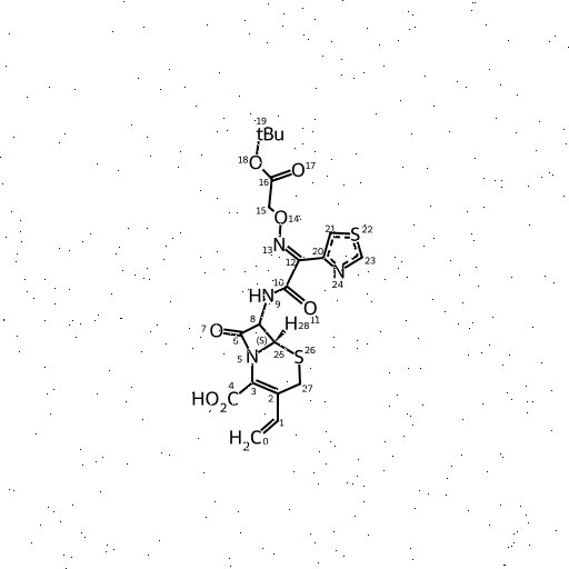 C=CC1=C(C(=O)O)N2C(=O)C(NC(=O)C(=NOCC(=O)OC(C)(C)C)c3cscn3)[C@@H]2SC1